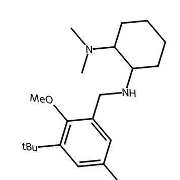 COc1c(CNC2CCCCC2N(C)C)cc(C(C)(C)C)cc1C(C)(C)C